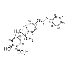 CC(C)(c1ccc(OCCc2ccccc2)cc1)c1ccc(O)c(C(=O)O)c1